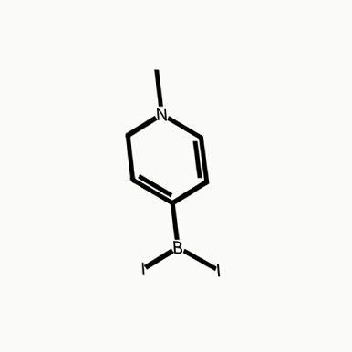 CN1C=CC(B(I)I)=CC1